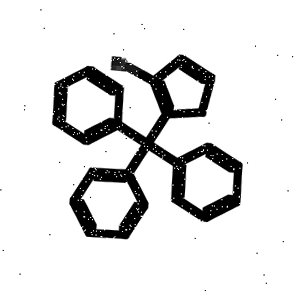 CCC1=C(C(c2ccccc2)(c2ccccc2)c2ccccc2)CC=C1